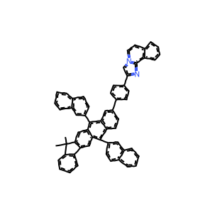 CC1(C)c2ccccc2-c2cc3c(-c4ccc5ccccc5c4)c4ccc(-c5ccc(-c6cn7ccc8ccccc8c7n6)cc5)cc4c(-c4ccc5ccccc5c4)c3cc21